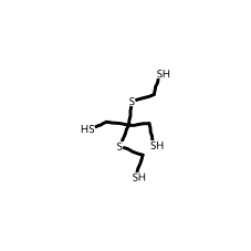 SCSC(CS)(CS)SCS